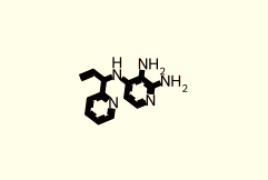 C=CC(Nc1ccnc(N)c1N)c1ccccn1